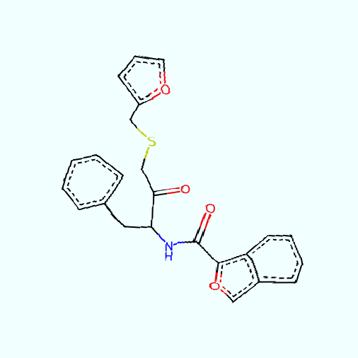 O=C(NC(Cc1ccccc1)C(=O)CSCc1ccco1)c1occ2ccccc12